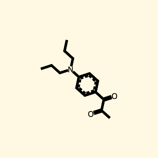 CCCN(CCC)c1ccc(C(=O)C(C)=O)cc1